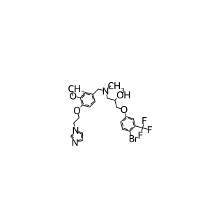 COc1cc(CN(C)CC(O)COc2ccc(Br)c(C(F)(F)F)c2)ccc1OCCn1ccnc1